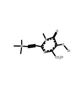 CCOC(=O)c1nc(C#C[Si](C)(C)C)n(C)c(=O)c1OCC